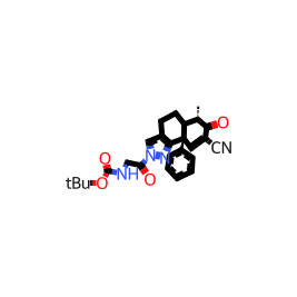 C[C@@H]1C(=O)C(C#N)=C[C@]2(c3ccccc3)c3nn(C(=O)CNC(=O)OC(C)(C)C)cc3CCC12